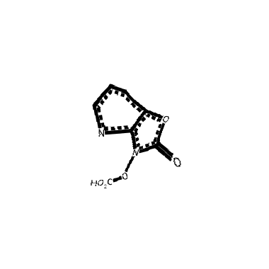 O=C(O)On1c(=O)oc2cccnc21